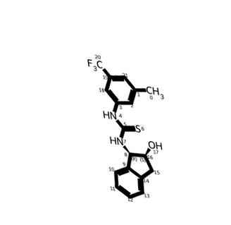 Cc1cc(NC(=S)N[C@@H]2c3ccccc3C[C@@H]2O)cc(C(F)(F)F)c1